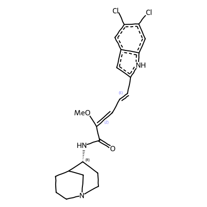 CO/C(=C\C=C\c1cc2cc(Cl)c(Cl)cc2[nH]1)C(=O)N[C@@H]1CCN2CCCC1C2